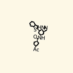 CC(=O)c1ccc(C(=O)Nc2cc(-c3cc4ccccc4s3)c3[nH]ncc3c2)cc1